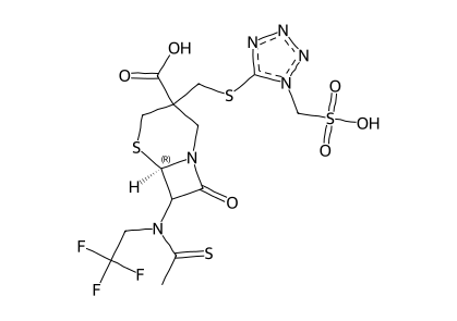 CC(=S)N(CC(F)(F)F)C1C(=O)N2CC(CSc3nnnn3CS(=O)(=O)O)(C(=O)O)CS[C@H]12